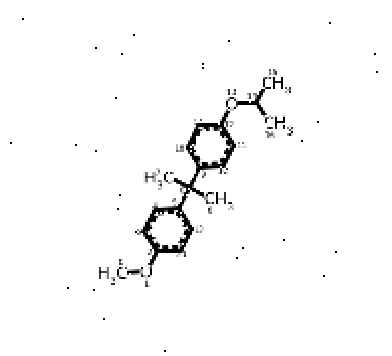 COc1ccc(C(C)(C)c2ccc(OC(C)C)cc2)cc1